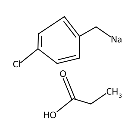 CCC(=O)O.[Na][CH2]c1ccc(Cl)cc1